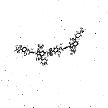 COc1cc(S(=O)(=O)N(C)C)ccc1NCC#Cc1cc2c(NC3CCN(C)CC3)cc(CN(C)S(=O)(=O)c3ccc(NCC#Cc4cc5c(NC6CCC(N(C)C)CC6)cccc5n4CC(F)(F)F)c(OC)c3)cc2n1CC(F)(F)F